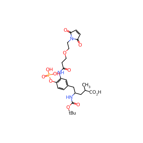 CC(CC(Cc1ccc(OP(=O)(O)O)c(NC(=O)CCOCCN2C(=O)C=CC2=O)c1)NC(=O)OC(C)(C)C)C(=O)O